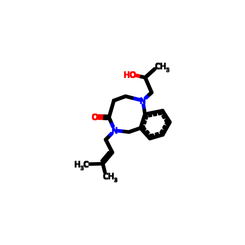 CC(C)=CCN1Cc2ccccc2N(CC(C)O)CCC1=O